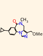 COCc1ncn2c1CN(C)C(=O)c1cc(C3CC3)ccc1-2